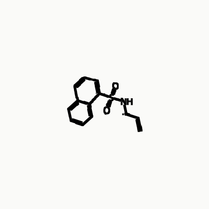 C=C[CH]NS(=O)(=O)c1cccc2ccccc12